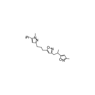 Cc1cc(C(C)Cc2cc(CCCc3cc(C(C)C)n(C)n3)on2)on1